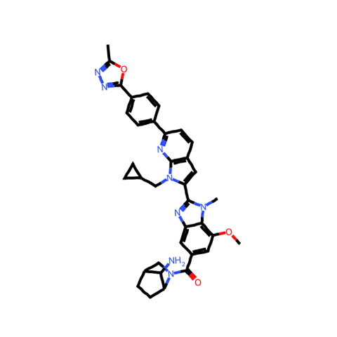 COc1cc(C(=O)N2CC3CCC2C3N)cc2nc(-c3cc4ccc(-c5ccc(-c6nnc(C)o6)cc5)nc4n3CC3CC3)n(C)c12